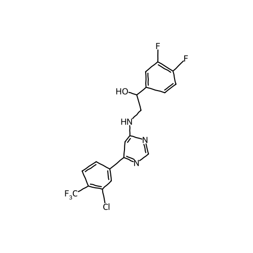 OC(CNc1cc(-c2ccc(C(F)(F)F)c(Cl)c2)ncn1)c1ccc(F)c(F)c1